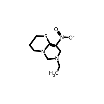 CCN1CC([N+](=O)[O-])=C2SCCCN2C1